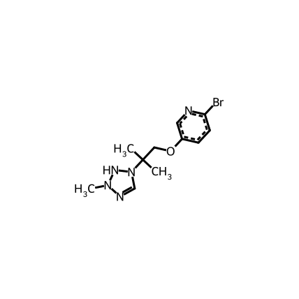 CN1N=CN(C(C)(C)COc2ccc(Br)nc2)N1